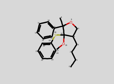 CCCCC1COC(C)(c2ccccc2)C1(OC)Sc1ccccc1